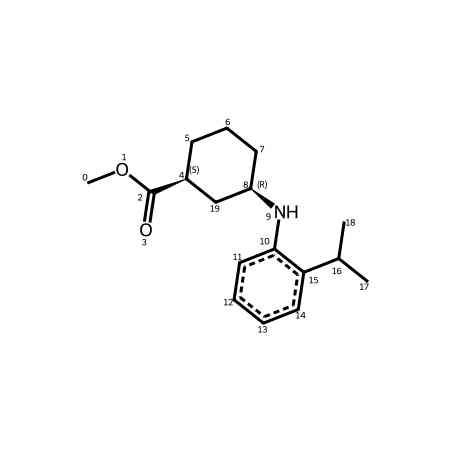 COC(=O)[C@H]1CCC[C@@H](Nc2ccccc2C(C)C)C1